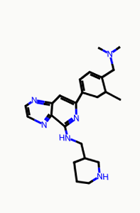 CC1CC(c2cc3nccnc3c(NCC3CCCNC3)n2)=CC=C1CN(C)C